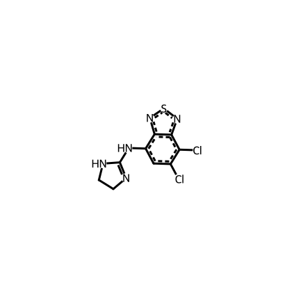 Clc1cc(NC2=NCCN2)c2nsnc2c1Cl